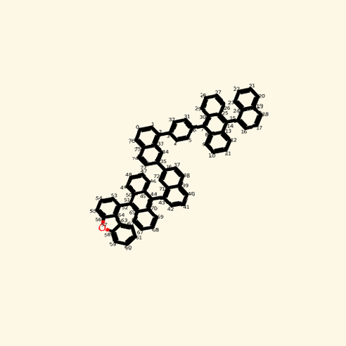 c1cc(-c2ccc(-c3c4ccccc4c(-c4cccc5ccccc45)c4ccccc34)cc2)c2cc(-c3ccc4cccc(-c5c6ccccc6c(-c6cccc7oc8ccccc8c67)c6ccccc56)c4c3)ccc2c1